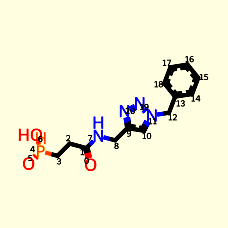 O=C(CC[PH](=O)O)NCc1cn(Cc2ccccc2)nn1